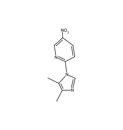 Cc1ncn(-c2ccc([N+](=O)[O-])cn2)c1C